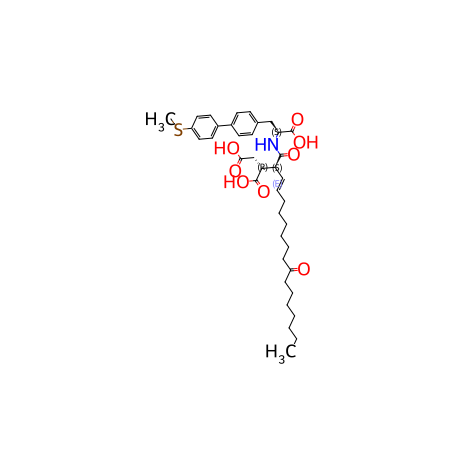 CCCCCCCC(=O)CCCCCC/C=C/[C@H](C(=O)N[C@@H](Cc1ccc(-c2ccc(SC)cc2)cc1)C(=O)O)[C@@H](CC(=O)O)C(=O)O